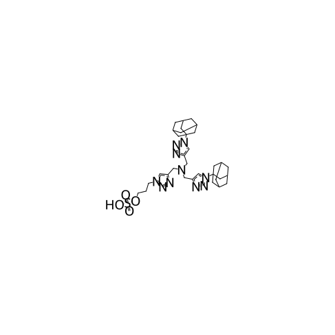 O=S(=O)(O)OCCCn1cc(CN(Cc2cn(C34CC5CC(CC(C5)C3)C4)nn2)Cc2cn(C34CC5CC(CC(C5)C3)C4)nn2)nn1